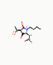 CCCCN1C(=O)/C(=C(\C)O)C(=O)C1CC(C)C